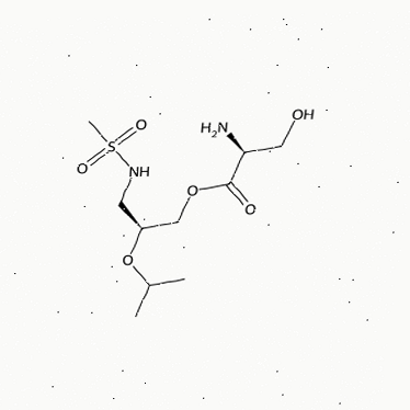 CC(C)O[C@@H](CNS(C)(=O)=O)COC(=O)[C@@H](N)CO